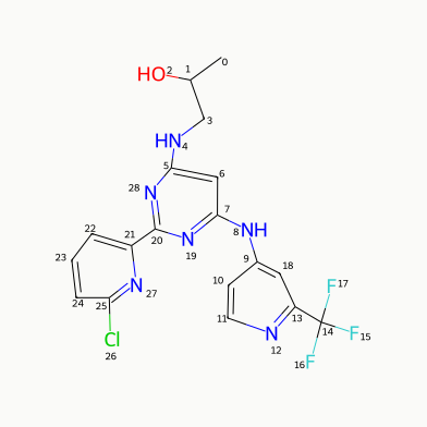 CC(O)CNc1cc(Nc2ccnc(C(F)(F)F)c2)nc(-c2cccc(Cl)n2)n1